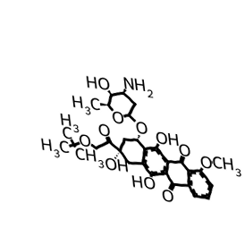 COc1cccc2c1C(=O)c1c(O)c3c(c(O)c1C2=O)C[C@@](O)(C(=O)COC(C)(C)C)C[C@@H]3OC1C[C@H](N)[C@H](O)[C@H](C)O1